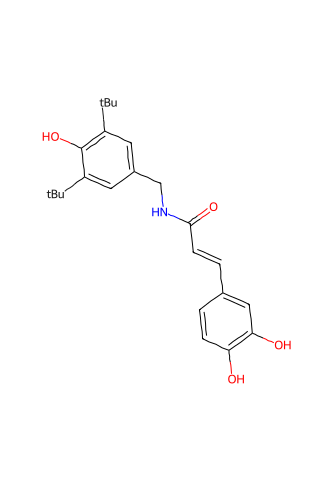 CC(C)(C)c1cc(CNC(=O)C=Cc2ccc(O)c(O)c2)cc(C(C)(C)C)c1O